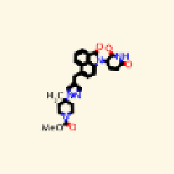 COC(=O)N1CCC(C)(n2cc(Cc3ccc4c5c(cccc35)C(=O)N4C3CCC(=O)NC3=O)cn2)CC1